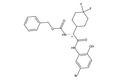 O=C(N[C@@H](C(=O)Nc1cc(Br)ccc1O)C1CCC(F)(F)CC1)OCc1ccccc1